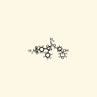 CC(OCc1csc(C2(O)CCOCC2)n1)c1nc(-c2ccccc2)c(-c2ccc(S(N)(=O)=O)cc2)o1